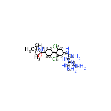 CC(C)(C)NC(=O)C1CCC(C2C(Cl)=CC(NC(N)NC(N=NN)NN)CC2Cl)CC1